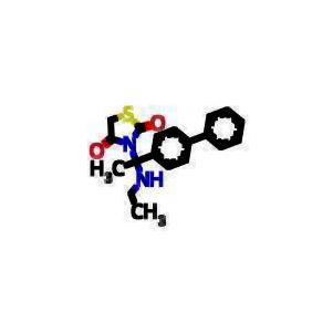 CCNC(C)(c1ccc(-c2ccccc2)cc1)N1C(=O)CSC1=O